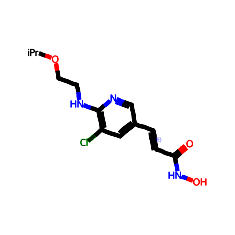 CC(C)OCCNc1ncc(/C=C/C(=O)NO)cc1Cl